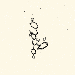 Clc1ccc(-c2cc3nnc(CC4CCN(Cl)CC4)n3nc2-c2ccccc2Cl)cc1